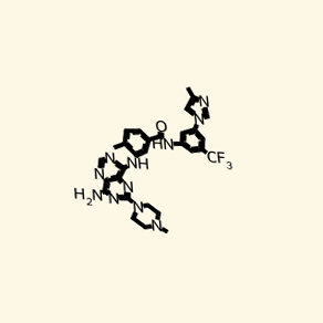 Cc1cn(-c2cc(NC(=O)c3ccc(C)c(Nc4ncnc5c(N)nc(N6CCN(C)CC6)nc45)c3)cc(C(F)(F)F)c2)cn1